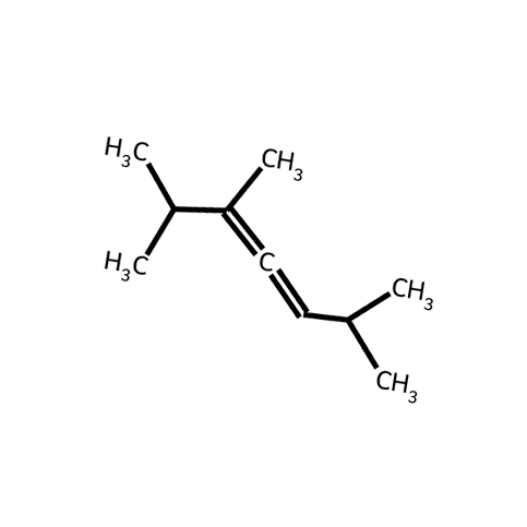 CC(=C=CC(C)C)C(C)C